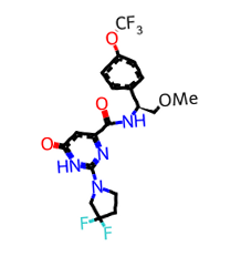 COC[C@@H](NC(=O)c1cc(=O)[nH]c(N2CCC(F)(F)C2)n1)c1ccc(OC(F)(F)F)cc1